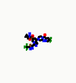 CC1(NS(=O)(=O)c2cc(N3CCN(C(=O)[C@H]4CC(F)(F)CN4)CC3)c3cnc(-c4nnc(C(F)(F)F)s4)n3c2)CC1